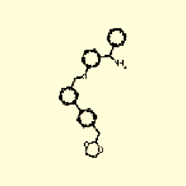 NC(c1ccccc1)c1cccc(OCc2cccc(-c3ccc(CC4OCCO4)cc3)c2)c1